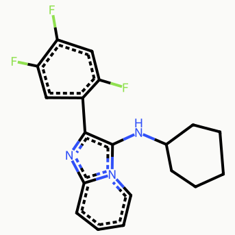 Fc1cc(F)c(-c2nc3ccccn3c2NC2CCCCC2)cc1F